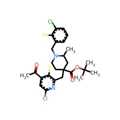 CC(=O)c1cc(Cl)nc(CC2(C(=O)OC(C)(C)C)CCN(Cc3cccc(Cl)c3F)C(C)C2)c1F